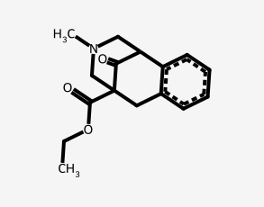 CCOC(=O)C12Cc3ccccc3C(CN(C)C1)C2=O